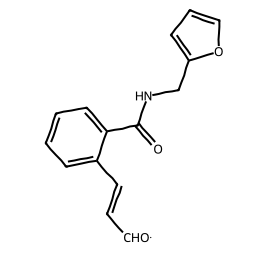 O=[C]/C=C/c1ccccc1C(=O)NCc1ccco1